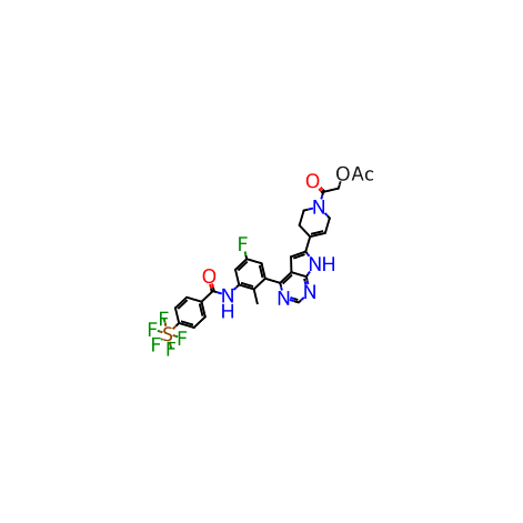 CC(=O)OCC(=O)N1CC=C(c2cc3c(-c4cc(F)cc(NC(=O)c5ccc(S(F)(F)(F)(F)F)cc5)c4C)ncnc3[nH]2)CC1